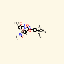 COc1cccc(OC)c1CNC(=O)c1nc(-c2ccc(C(C)(C)C)cc2)oc1-c1ccc(NC(C)=O)cc1